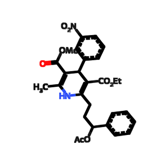 CCOC(=O)C1=C(CCC(OC(C)=O)c2ccccc2)NC(C)=C(C(=O)OC)C1c1cccc([N+](=O)[O-])c1